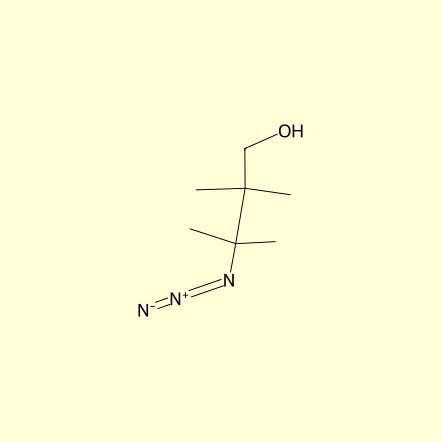 CC(C)(CO)C(C)(C)N=[N+]=[N-]